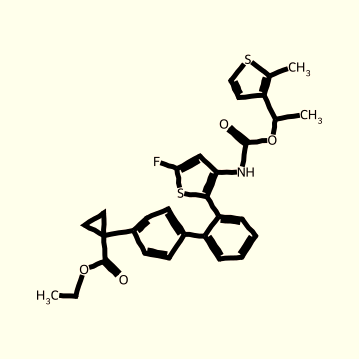 CCOC(=O)C1(c2ccc(-c3ccccc3-c3sc(F)cc3NC(=O)OC(C)c3ccsc3C)cc2)CC1